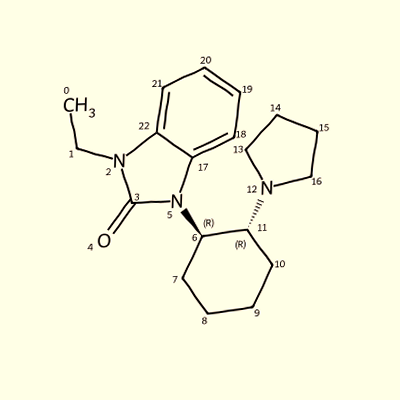 CCn1c(=O)n([C@@H]2CCCC[C@H]2N2CCCC2)c2ccccc21